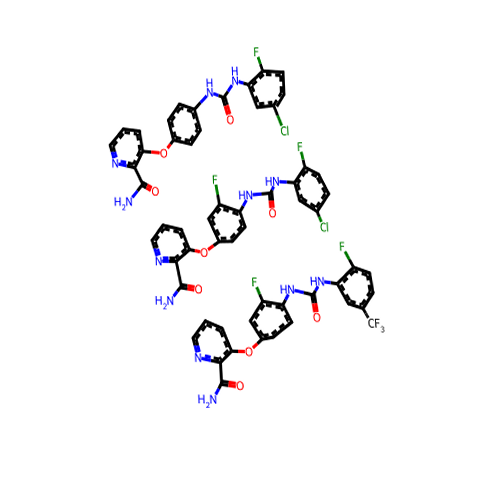 NC(=O)c1ncccc1Oc1ccc(NC(=O)Nc2cc(C(F)(F)F)ccc2F)c(F)c1.NC(=O)c1ncccc1Oc1ccc(NC(=O)Nc2cc(Cl)ccc2F)c(F)c1.NC(=O)c1ncccc1Oc1ccc(NC(=O)Nc2cc(Cl)ccc2F)cc1